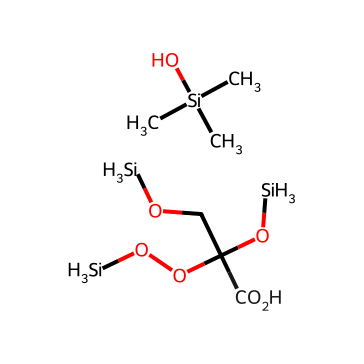 C[Si](C)(C)O.O=C(O)C(CO[SiH3])(O[SiH3])OO[SiH3]